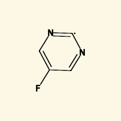 Fc1cn[c]nc1